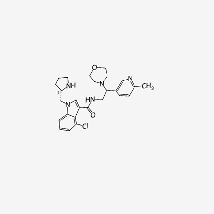 Cc1ccc(C(CNC(=O)c2cn(C[C@@H]3CCCN3)c3cccc(Cl)c23)N2CCOCC2)cn1